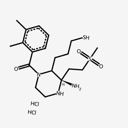 Cc1cccc(C(=O)N2CCN[C@@](N)(CCS(C)(=O)=O)C2CCCS)c1C.Cl.Cl